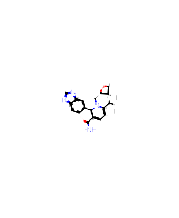 CC(C)C1=CC=C(C(N)=O)C(c2ccc3[nH]cnc3c2)N1C[C@@H]1CCO1